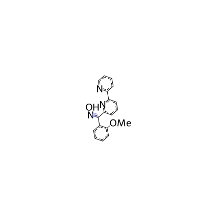 COc1ccccc1/C(=N/O)c1cccc(-c2ccccn2)n1